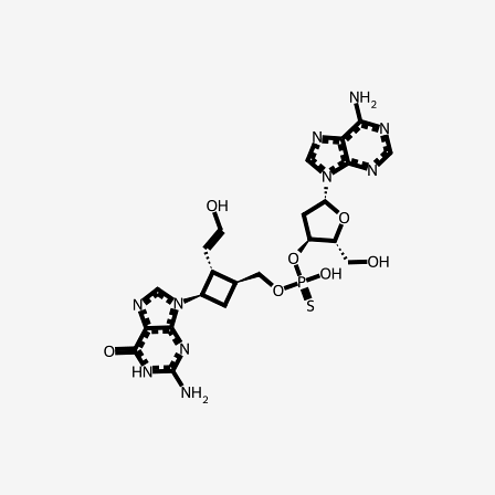 Nc1nc2c(ncn2[C@@H]2C[C@H](COP(O)(=S)O[C@H]3C[C@H](n4cnc5c(N)ncnc54)O[C@@H]3CO)[C@H]2/C=C/O)c(=O)[nH]1